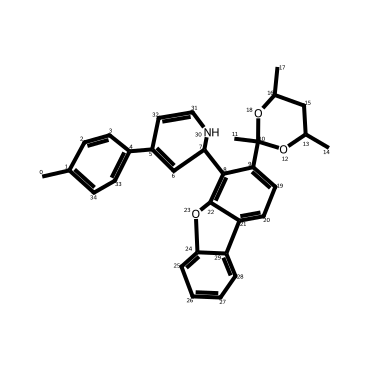 Cc1ccc(C2=CC(c3c(C4(C)OC(C)CC(C)O4)ccc4c3oc3ccccc34)NC=C2)cc1